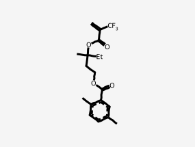 C=C(C(=O)OC(C)(CC)CCOC(=O)c1cc(C)ccc1C)C(F)(F)F